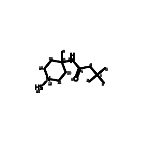 CC(C)(C)CC(=O)NC1(C)CCN(S)CC1